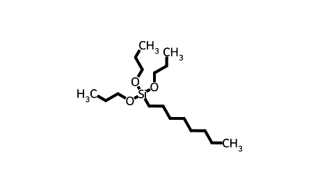 CCCCCCCC[Si](OCCC)(OCCC)OCCC